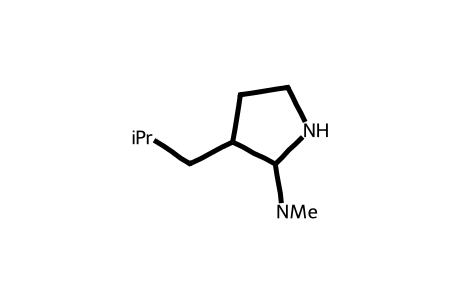 CNC1NCCC1CC(C)C